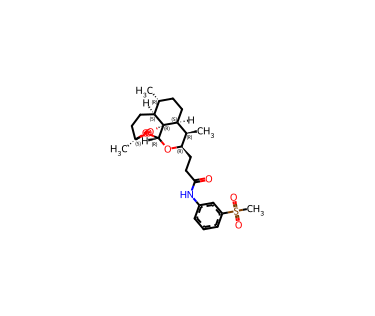 C[C@H]1[C@@H](CCC(=O)Nc2cccc(S(C)(=O)=O)c2)O[C@@H]2O[C@]3(C)CC[C@H]4[C@H](C)CC[C@@H]1[C@@]24OO3